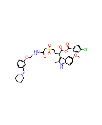 COc1ccc2[nH]c(C)c(C(CCS(=O)(=O)CC(=O)NCCCOc3cccc(CN4CCCCC4)c3)C(=O)OC(=O)c3ccc(Cl)cc3)c2c1